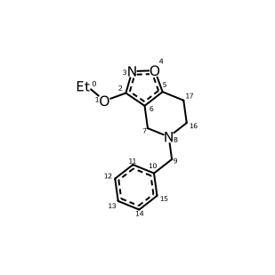 CCOc1noc2c1CN(Cc1ccccc1)CC2